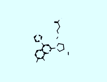 CC[C@H]1C[C@@H](COCCC(=O)O)N(c2cc(-n3ccnc3)c3ccc(Cl)c(Cl)c3n2)C1